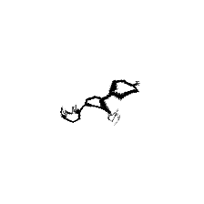 Fc1ccc(-c2ccc(C3=NN=CCC3)cc2C(F)(F)F)cc1